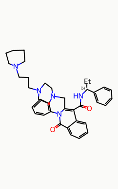 CC[C@H](NC(=O)c1c(CN2CCN(CCCN3CCCCC3)CC2)n(-c2ccccc2)c(=O)c2ccccc12)c1ccccc1